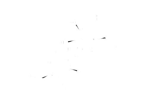 OC[C@H]1OC[C@@](O)(O[C@H]2O[C@H](CO)[C@@H](O)[C@H](O)[C@@H]2O)[C@@H](O)[C@@H]1O